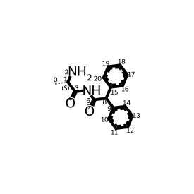 C[C@H](N)C(=O)NC(=O)C(c1ccccc1)c1ccccc1